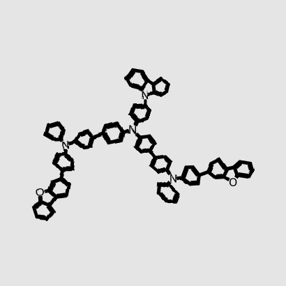 c1ccc(N(c2ccc(-c3ccc(N(c4ccc(-c5ccc(N(c6ccccc6)c6ccc(-c7ccc8c(c7)oc7ccccc78)cc6)cc5)cc4)c4ccc(-n5c6ccccc6c6ccccc65)cc4)cc3)cc2)c2ccc(-c3ccc4c(c3)oc3ccccc34)cc2)cc1